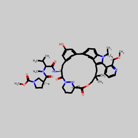 CCn1c(-c2cccnc2[C@H](C)OC)c2c3cc(ccc31)-c1cc(O)cc(c1)C[C@H](NC(=O)C(C(C)C)N(C)C(=O)[C@@]1(F)CCN(C(=O)OC)C1)C(=O)N1CCC[C@H](N1)C(=O)OCC(C)(C)C2